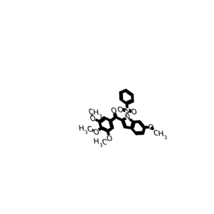 COc1ccc2cc(C(=O)c3cc(OC)c(OC)c(OC)c3)n(S(=O)(=O)c3ccccc3)c2c1